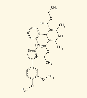 CCOC(=O)C1=C(C)NC(C)=C(C(=O)OCC)C1c1ccccc1Nc1nc(-c2ccc(OC)c(OC)c2)cs1